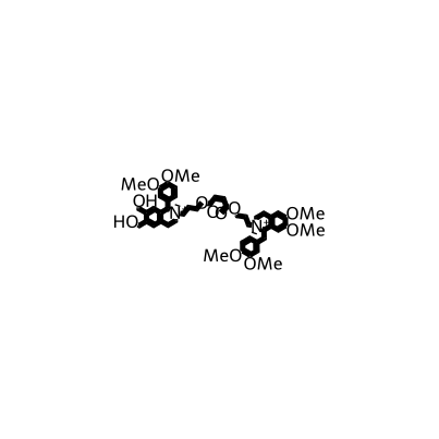 COc1ccc(CC2c3cc(OC)c(OC)cc3CC[N+]2(C)CCCOC(=O)/C=C\C(=O)OCCC[N+]2(C)CCc3cc(CO)c(CO)cc3C2c2ccc(OC)c(OC)c2)cc1OC